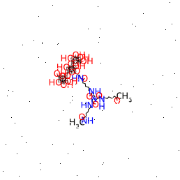 CNC(=O)CCCCCNC(=O)CN(CC(=O)NCCCCCC(C)=O)CC(=O)NCCCCCC(=O)NCCO[C@H]1O[C@H](CO[C@H]2O[C@H](CO)[C@@H](O)[C@H](O)[C@@H]2O)[C@@H](O)[C@H](O[C@H]2O[C@H](CO)[C@@H](O)[C@H](O)[C@@H]2O)[C@@H]1O